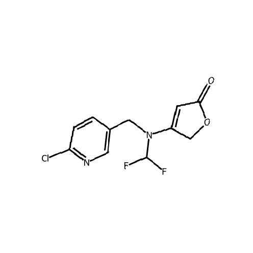 O=C1C=C(N(Cc2ccc(Cl)nc2)C(F)F)CO1